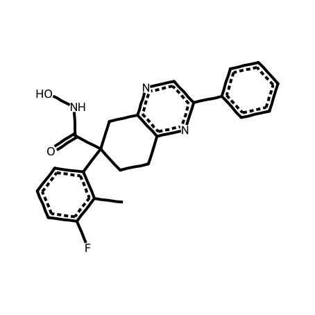 Cc1c(F)cccc1C1(C(=O)NO)CCc2nc(-c3ccccc3)cnc2C1